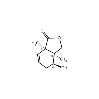 C[C@@]12C=CC[C@H](O)[C@]1(C)COC2=O